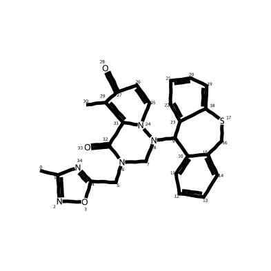 Cc1noc(CN2CN(C3c4ccccc4CSc4ccccc43)n3ccc(=O)c(C)c3C2=O)n1